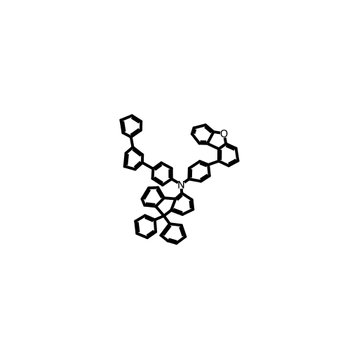 c1ccc(-c2cccc(-c3ccc(N(c4ccc(-c5cccc6oc7ccccc7c56)cc4)c4cccc5c4-c4ccccc4C5(c4ccccc4)c4ccccc4)cc3)c2)cc1